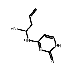 C=CCC(CCCC)Nc1cc[nH]c(=O)n1